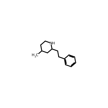 CC1CCNC(CCc2ccccc2)C1